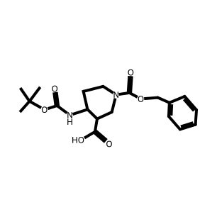 CC(C)(C)OC(=O)NC1CCN(C(=O)OCc2ccccc2)CC1C(=O)O